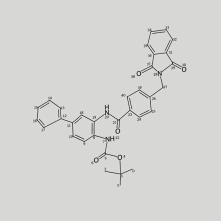 CC(C)(C)OC(=O)Nc1ccc(-c2ccccc2)cc1NC(=O)c1ccc(CN2C(=O)c3ccccc3C2=O)cc1